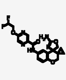 NC1=NC2(CO1)c1cc(NC(=O)c3cnc(OCC(F)F)cn3)ccc1OCC21CC1